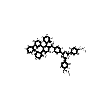 Cc1ccc(-c2nc(-c3ccc(C)cc3)nc(-c3ccc(-c4nc5ccccc5c5c(-c6cccc7c6oc6ccccc67)c6c(cc45)oc4ccccc46)cc3)n2)cc1